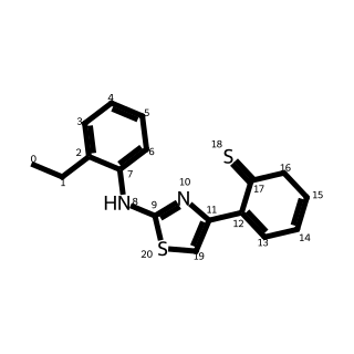 CCc1ccccc1Nc1nc(C2=CC=CCC2=S)cs1